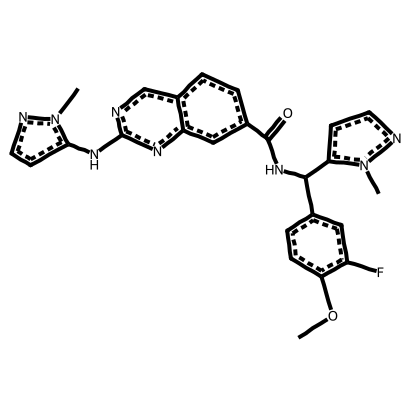 COc1ccc(C(NC(=O)c2ccc3cnc(Nc4ccnn4C)nc3c2)c2ccnn2C)cc1F